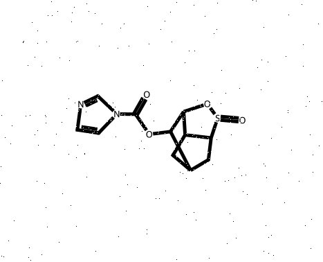 O=C(OC1C2CC3C1OS(=O)C3C2)n1ccnc1